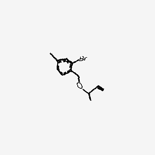 C=CC(C)OCc1ccc(C)cc1Br